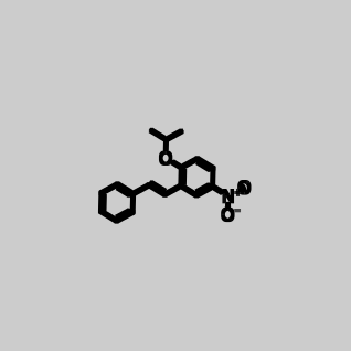 CC(C)Oc1ccc([N+](=O)[O-])cc1C=Cc1ccccc1